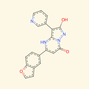 O=c1cc(-c2ccc3occc3c2)[nH]c2c(-c3cccnc3)c(O)nn12